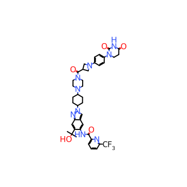 CC(C)(O)c1cc2nn(C3CCC(N4CCN(C(=O)C5CN(c6ccc(N7CCC(=O)NC7=O)cc6)C5)CC4)CC3)cc2cc1NC(=O)c1cccc(C(F)(F)F)n1